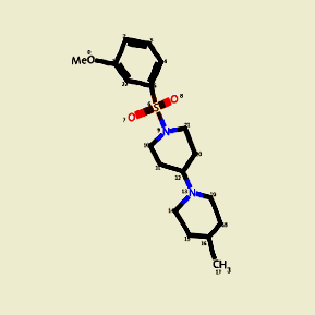 COc1cccc(S(=O)(=O)N2CCC(N3CCC(C)CC3)CC2)c1